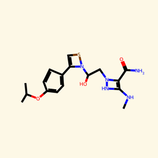 CNc1[nH]n(CC(O)n2scc2-c2ccc(OC(C)C)cc2)c1C(N)=O